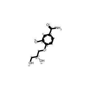 NC(=O)c1ccc(OC[C@H](O)CO)c(Cl)c1